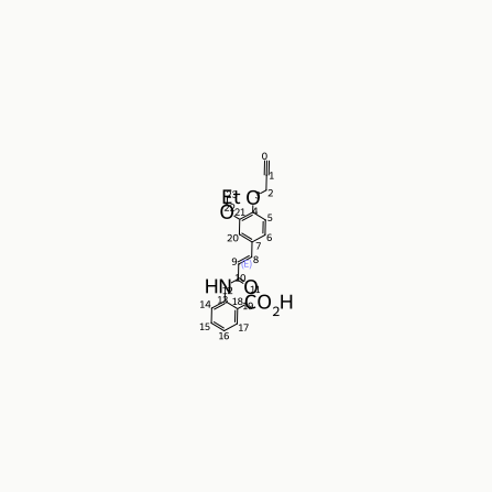 C#CCOc1ccc(/C=C/C(=O)Nc2ccccc2C(=O)O)cc1OCC